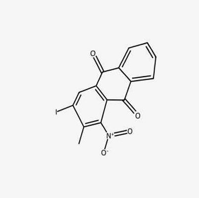 Cc1c(I)cc2c(c1[N+](=O)[O-])C(=O)c1ccccc1C2=O